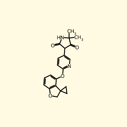 CC1(C)NC(=O)C(c2ccc(Oc3cccc4c3C3(CC3)CO4)nc2)C1=O